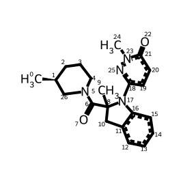 C[C@H]1CCCN(C(=O)C2(C)Cc3ccccc3N2c2ccc(=O)n(C)n2)C1